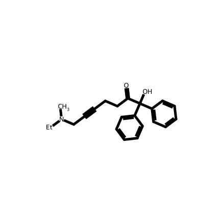 CCN(C)CC#CCCC(=O)C(O)(c1ccccc1)c1ccccc1